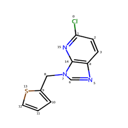 Clc1ccc2ncn(Cc3cccs3)c2n1